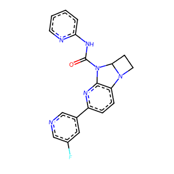 O=C(Nc1ccccn1)N1c2nc(-c3cncc(F)c3)ccc2N2CCC21